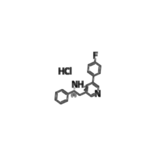 Cl.N[C@H](Cc1cncc(-c2ccc(F)cc2)c1)c1ccccc1